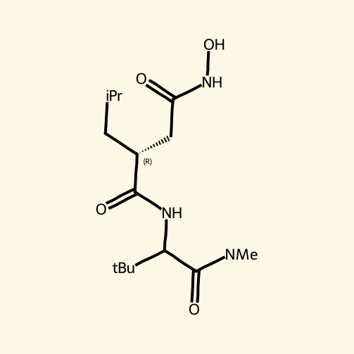 CNC(=O)C(NC(=O)[C@@H](CC(=O)NO)CC(C)C)C(C)(C)C